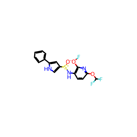 [O-][S+](Nc1ccc(OC(F)F)nc1OF)c1c[nH]c(-c2ccccc2)c1